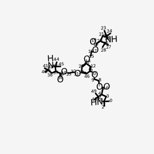 CC1(C)CC(C(=O)OCCOc2cc(OCCOC(=O)C3CC(C)(C)NC3(C)C)cc(OCCOC(=O)C3CC(C)(C)NC3(C)C)c2)C(C)(C)N1